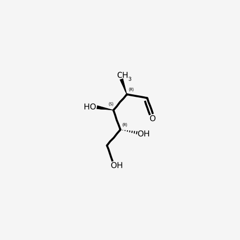 C[C@@H](C=O)[C@H](O)[C@H](O)CO